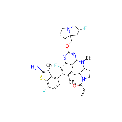 C=CC(=O)N1CCC(N(CC)c2nc(OCC34CCCN3CC(F)C4)nc3c(F)c(-c4ccc(F)c5sc(N)c(C#N)c45)c(C(F)(F)F)cc23)C1C